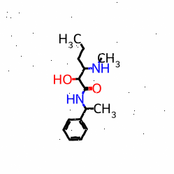 CCCC(NC)C(O)C(=O)NC(C)c1ccccc1